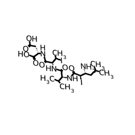 CC(C)C[C@@H](N)[C@@H](I)C(=O)N[C@H](C(=O)N[C@H](C(=O)N[C@@H](CC(=O)O)C(=O)O)C(C)I)C(C)C